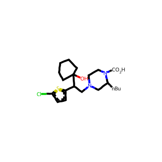 CCCCC1CN(CC(c2ccc(Cl)s2)C2(O)CCCCC2)CCN1C(=O)O